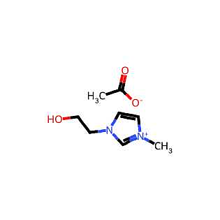 CC(=O)[O-].C[n+]1ccn(CCO)c1